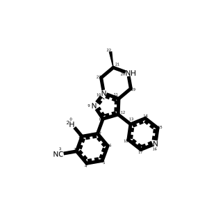 [2H]c1c(C#N)cccc1-c1nn2c(c1-c1ccncc1)CN[C@H](C)C2